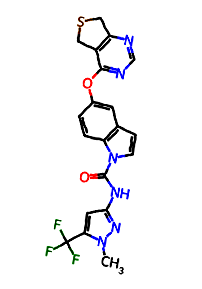 Cn1nc(NC(=O)n2ccc3cc(Oc4ncnc5c4CSC5)ccc32)cc1C(F)(F)F